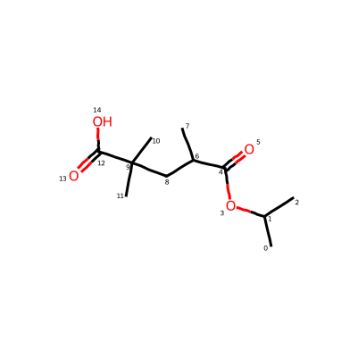 CC(C)OC(=O)C(C)CC(C)(C)C(=O)O